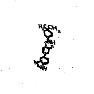 CC1(C)CCC(NCc2ccc(-c3ccc4[nH]cnc4c3)cc2F)CC1